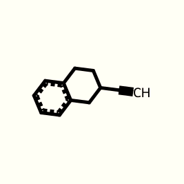 C#CC1CCc2ccccc2C1